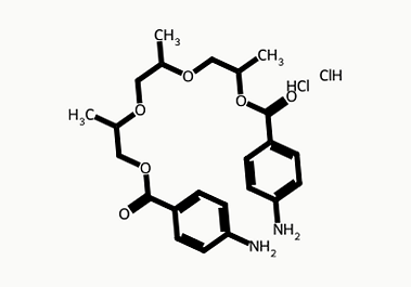 CC(COC(=O)c1ccc(N)cc1)OCC(C)OCC(C)OC(=O)c1ccc(N)cc1.Cl.Cl